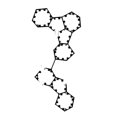 c1ccc2c(c1)sc1c(-c3ccc4c5cccc6c7ccccc7n(c4c3)c65)ncnc12